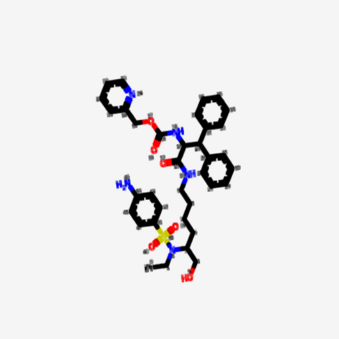 CC(C)CN(C(CO)CCCCNC(=O)C(NC(=O)OCc1ccccn1)C(c1ccccc1)c1ccccc1)S(=O)(=O)c1ccc(N)cc1